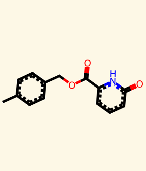 Cc1ccc(COC(=O)c2cccc(=O)[nH]2)cc1